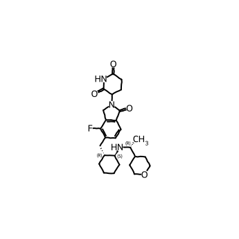 C[C@@H](N[C@H]1CCCC[C@@H]1Cc1ccc2c(c1F)CN(C1CCC(=O)NC1=O)C2=O)C1CCOCC1